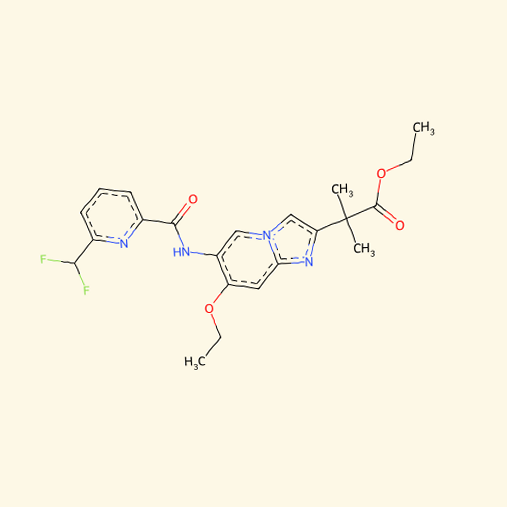 CCOC(=O)C(C)(C)c1cn2cc(NC(=O)c3cccc(C(F)F)n3)c(OCC)cc2n1